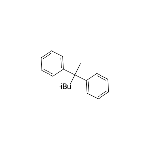 CC[C](C)C(C)(c1ccccc1)c1ccccc1